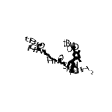 Cc1cc(C)c(-c2cc(SCCC(=O)NCCCCCNC(=O)OC(C)(C)C)nc(N)n2)cc1C(=O)OC(C)(C)C